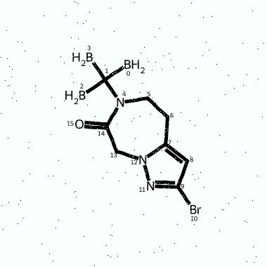 BC(B)(B)N1CCc2cc(Br)nn2CC1=O